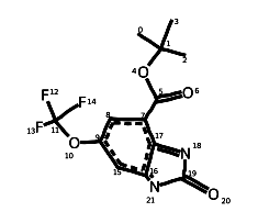 CC(C)(C)OC(=O)c1cc(OC(F)(F)F)cc2c1=NC(=O)N=2